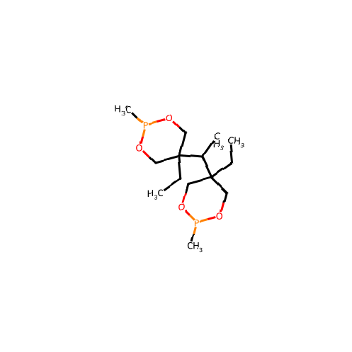 CCC1([C](C)C2(CC)COP(C)OC2)COP(C)OC1